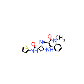 Cn1c(=O)c(C#N)c(NC2CC(C(=O)Nc3cccs3)C2)c2ccccc21